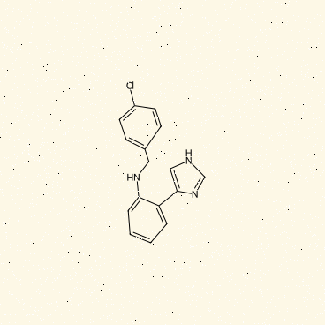 Clc1ccc(CNc2ccccc2-c2c[nH]cn2)cc1